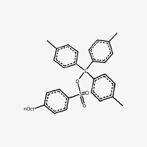 CCCCCCCCc1ccc(S(=O)(=O)OS(c2ccc(C)cc2)(c2ccc(C)cc2)c2ccc(C)cc2)cc1